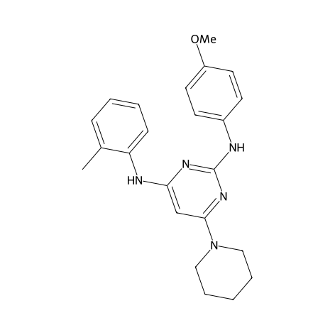 COc1ccc(Nc2nc(Nc3ccccc3C)cc(N3CCCCC3)n2)cc1